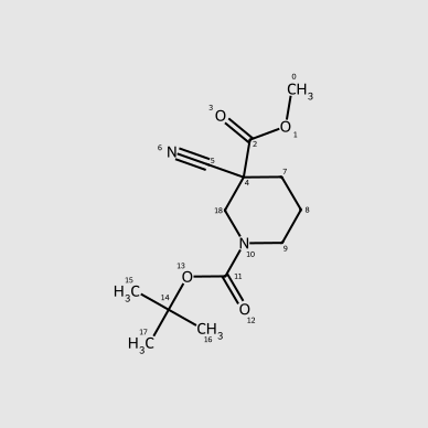 COC(=O)C1(C#N)CCCN(C(=O)OC(C)(C)C)C1